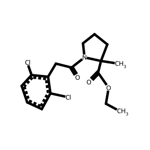 CCOC(=O)C1(C)CCCN1C(=O)Cc1c(Cl)cccc1Cl